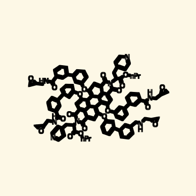 CCCOC(=O)C(Cc1ccncc1)N1C(=O)c2cc(Oc3cccc(-c4cccc(CNCC5CO5)c4)c3)c3c4c(Oc5cccc(-c6cccc(C(=O)NCC7CO7)c6)c5)cc5c6c(cc(Oc7cccc(-c8cccc(C(=O)NCC9CO9)c8)c7)c(c7c(Oc8cccc(-c9cccc(C(=O)NCC%10CO%10)c9)c8)cc(c2c37)C1=O)c64)C(=O)N(C(Cc1ccncc1)C(=O)OCCC)C5=O